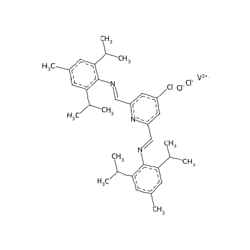 Cc1cc(C(C)C)c(N=Cc2cc(Cl)cc(C=Nc3c(C(C)C)cc(C)cc3C(C)C)n2)c(C(C)C)c1.[Cl-].[Cl-].[V+2]